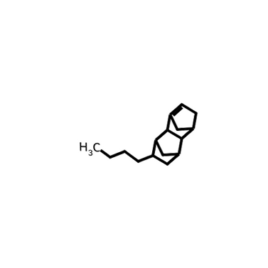 CCCCC1CC2CC1C1C3=CCC(C3)C21